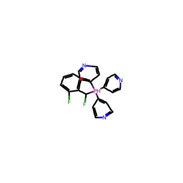 Fc1ccccc1C(F)[PH](c1ccncc1)(c1ccncc1)c1ccncc1